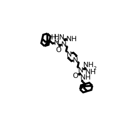 N=C(N)N(CCN1CCN(CCN(C(=N)N)C(=O)NCC23CC4CC(CC(C4)C2)C3)CC1)C(=O)NCC12CC3CC(CC(C3)C1)C2